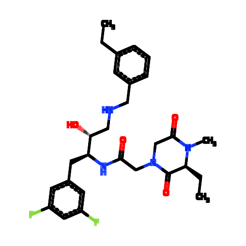 CCc1cccc(CNC[C@@H](O)[C@H](Cc2cc(F)cc(F)c2)NC(=O)CN2CC(=O)N(C)[C@@H](CC)C2=O)c1